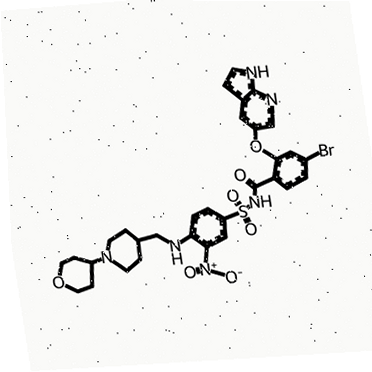 O=C(NS(=O)(=O)c1ccc(NCC2CCN(C3CCOCC3)CC2)c([N+](=O)[O-])c1)c1ccc(Br)cc1Oc1cnc2[nH]ccc2c1